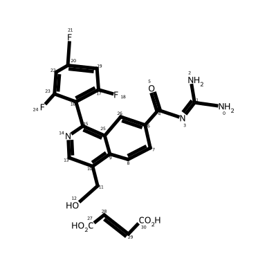 NC(N)=NC(=O)c1ccc2c(CO)cnc(-c3c(F)cc(F)cc3F)c2c1.O=C(O)C=CC(=O)O